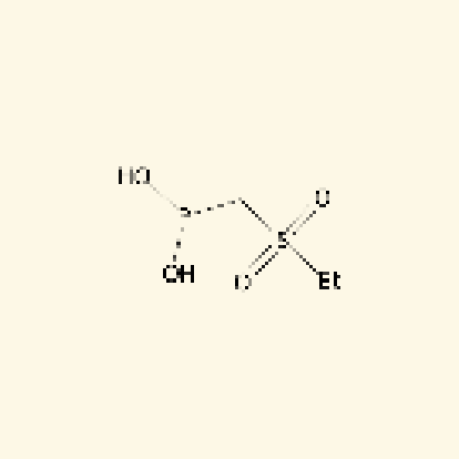 CCS(=O)(=O)CP(O)O